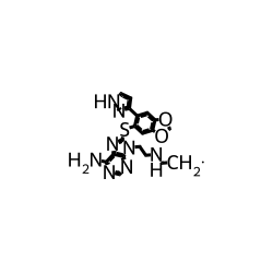 [CH2]CNCCn1c(Sc2cc3c(cc2-c2cc[nH]n2)OCO3)nc2c(N)ncnc21